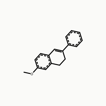 COc1ccc2c(c1)CCC(c1ccccc1)=C2